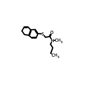 CCCCN(C)C(=O)CSc1ccc2c(c1)C=CCC2